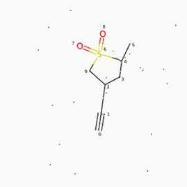 C#CC1CC(C)S(=O)(=O)C1